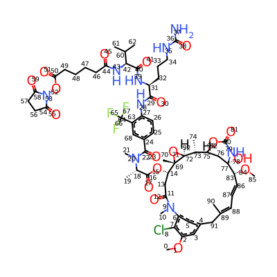 COc1cc2cc(c1Cl)N(C)C(=O)C[C@H](OC(=O)[C@H](C)N(C)C(=O)c1ccc(NC(=O)[C@H](CCCNC(N)=O)NC(=O)[C@@H](NC(=O)CCCCC(=O)ON3C(=O)CCC3=O)C(C)C)c(C(F)(F)F)c1)[C@]1(C)O[C@H]1[C@H](C)[C@@H]1C[C@@](O)(NC(=O)O1)[C@H](OC)/C=C/C=C(\C)C2